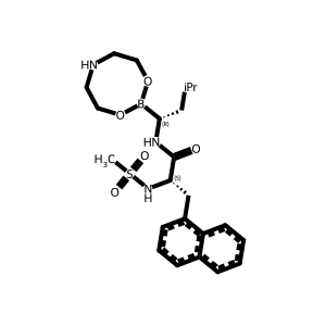 CC(C)C[C@H](NC(=O)[C@H](Cc1cccc2ccccc12)NS(C)(=O)=O)B1OCCNCCO1